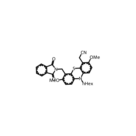 CCCCCCN1c2ccc(OC)c(CC#N)c2Sc2c1ccc(OC)c2CN1C(=O)c2ccccc2C1=O